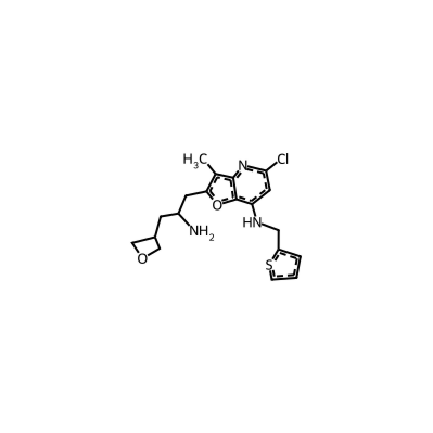 Cc1c(CC(N)CC2COC2)oc2c(NCc3cccs3)cc(Cl)nc12